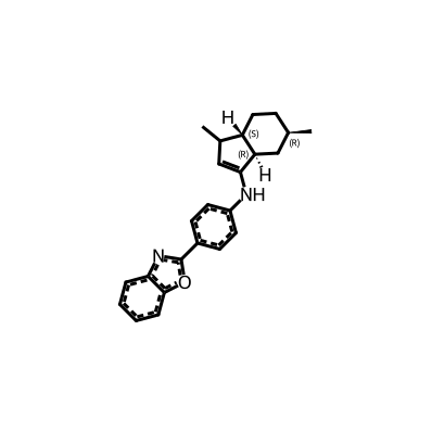 CC1C=C(Nc2ccc(-c3nc4ccccc4o3)cc2)[C@@H]2C[C@H](C)CC[C@@H]12